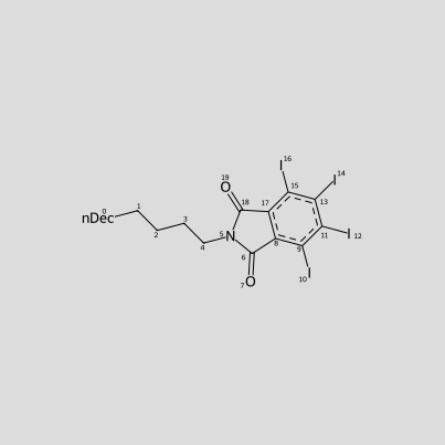 CCCCCCCCCCCCCCN1C(=O)c2c(I)c(I)c(I)c(I)c2C1=O